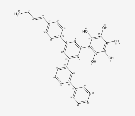 Bc1c(O)c(O)c(-c2nc(-c3ccc(/C=C/CC)cc3)cc(-c3cccc(-c4cccnc4)c3)n2)c(O)c1O